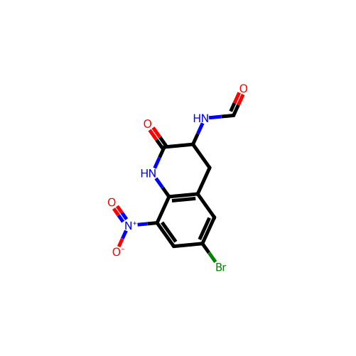 O=CNC1Cc2cc(Br)cc([N+](=O)[O-])c2NC1=O